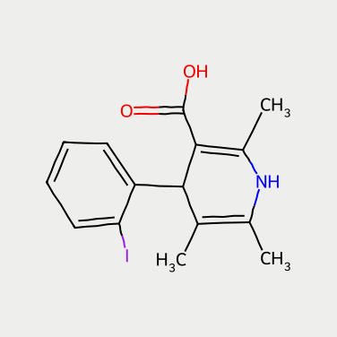 CC1=C(C)C(c2ccccc2I)C(C(=O)O)=C(C)N1